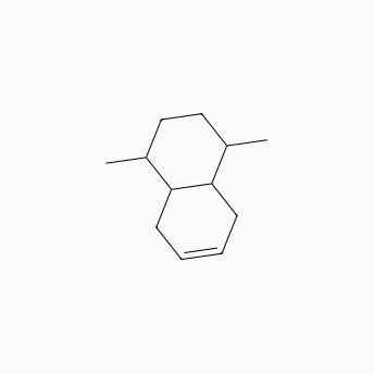 CC1CCC(C)C2CC=CCC12